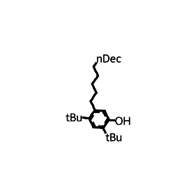 CCCCCCCCCCCCCCCc1cc(O)c(C(C)(C)C)cc1C(C)(C)C